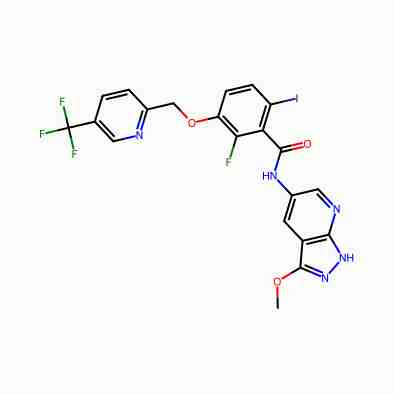 COc1n[nH]c2ncc(NC(=O)c3c(I)ccc(OCc4ccc(C(F)(F)F)cn4)c3F)cc12